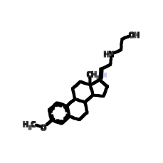 COc1ccc2c(c1)CCC1C2CCC2(C)/C(=C/CNCCO)CCC12